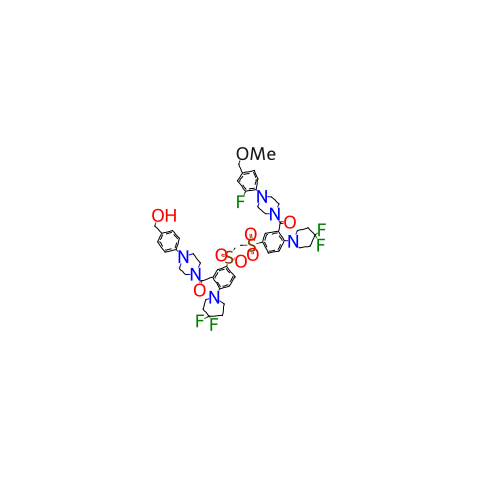 COCc1ccc(N2CCN(C(=O)c3cc(S(C)(=O)=O)ccc3N3CCC(F)(F)CC3)CC2)c(F)c1.CS(=O)(=O)c1ccc(N2CCC(F)(F)CC2)c(C(=O)N2CCN(c3ccc(CO)cc3)CC2)c1